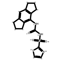 O=C(Nc1c2c(cc3c1CCC3)CCC2)NS(=O)(=O)c1nccs1